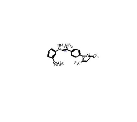 CC(=O)Nc1cccc(N(N)/C=C(\N)c2ccc(-n3nc(C(F)(F)F)cc3C(F)(F)F)cc2)c1